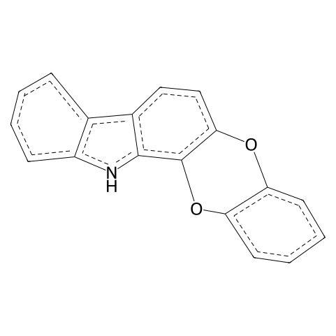 c1ccc2c(c1)Oc1ccc3c([nH]c4ccccc43)c1O2